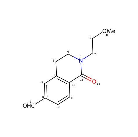 COCCN1CCc2cc(C=O)ccc2C1=O